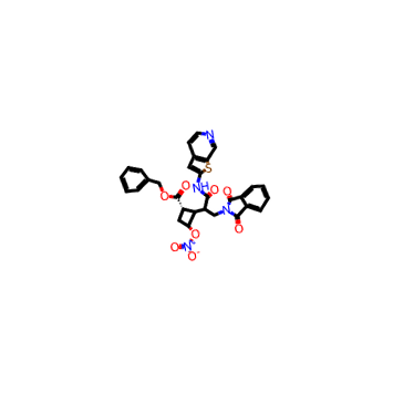 O=C(Nc1cc2ccncc2s1)C(CN1C(=O)c2ccccc2C1=O)C1C(O[N+](=O)[O-])C[C@@H]1C(=O)OCc1ccccc1